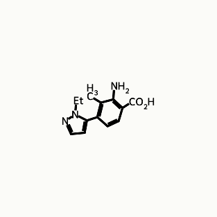 CCn1nccc1-c1ccc(C(=O)O)c(N)c1C